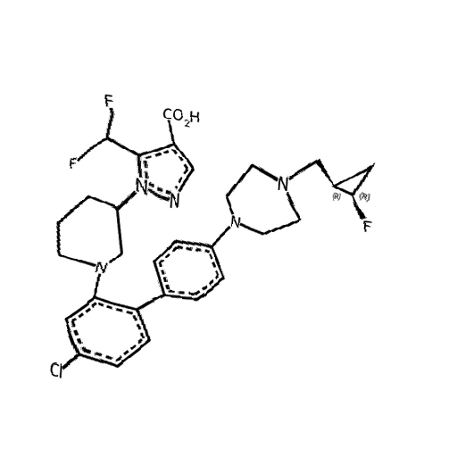 O=C(O)c1cnn(C2CCCN(c3cc(Cl)ccc3-c3ccc(N4CCN(C[C@H]5C[C@H]5F)CC4)cc3)C2)c1C(F)F